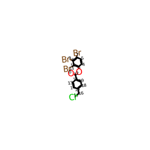 O=C(Oc1ccc(Br)c(Br)c1Br)c1ccc(CCl)cc1